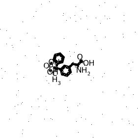 CC(c1ccccc1)(c1cccc(C[C@H](N)C(=O)O)c1)P(=O)(O)O